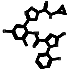 Cc1cc(Cl)cc(C2=NOC(C(=O)NC3CC3)C2)c1NC(=O)c1cc(Br)nn1-c1ncccc1Cl